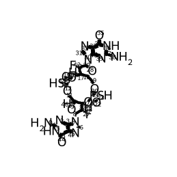 Nc1nc2c(ncn2[C@@H]2O[C@@H]3CO[P@@](=O)(S)O[C@@H]4C(CO[P@@](=O)(S)O[C@H]3[C@H]2F)O[C@@H](n2cnc3c(=O)[nH]c(N)nc32)[C@@H]4F)c(=O)[nH]1